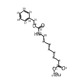 CC(C)(C)OC(=O)CCCCCCCNC(=O)OCc1ccccc1